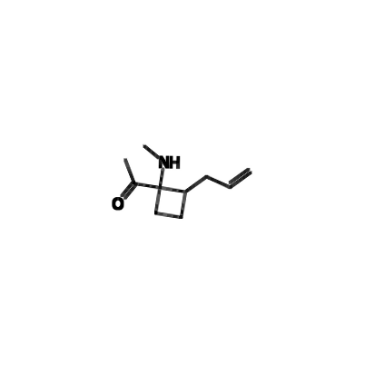 C=CCC1CCC1(NC)C(C)=O